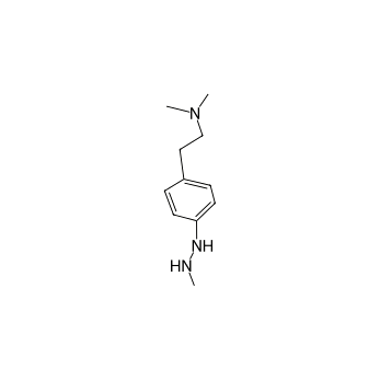 CNNc1ccc(CCN(C)C)cc1